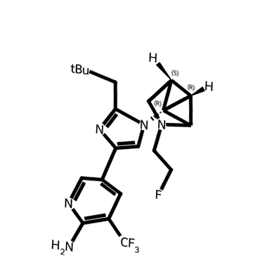 CC(C)(C)Cc1nc(-c2cnc(N)c(C(F)(F)F)c2)cn1[C@@]12C3[C@H]1[C@H]2CN3CCF